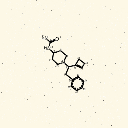 CCC(=O)NC1CCN(C(Cc2ccccc2)C2=CCC2)CC1